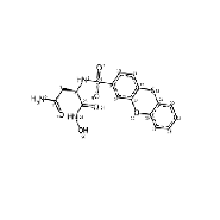 NC(=O)C[C@@H](NS(=O)(=O)c1ccc2c(c1)Oc1ccccc1S2)C(=O)NO